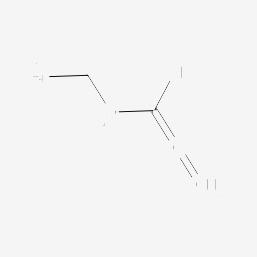 C=C=C(Cl)OCBr